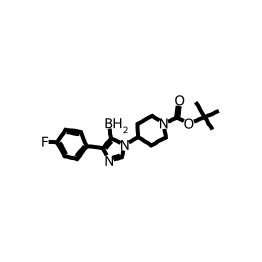 Bc1c(-c2ccc(F)cc2)ncn1C1CCN(C(=O)OC(C)(C)C)CC1